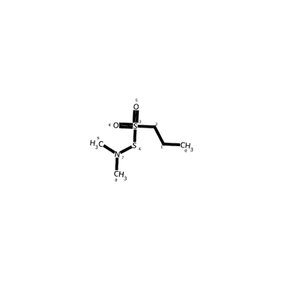 CCCS(=O)(=O)SN(C)C